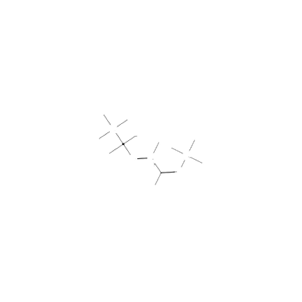 CCC(O[Si](C)(C)C)[SiH](C)OC(C)(CC)[Si](C)(C)C